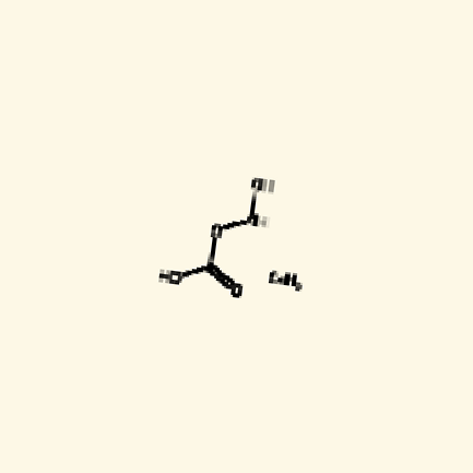 O=C(O)[O][AlH][OH].[CaH2]